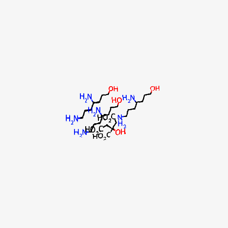 NCCCC(N)CCCO.NCCCC(N)CCCO.NCCCC(N)CCCO.O=C(O)CC(O)(CC(=O)O)C(=O)O